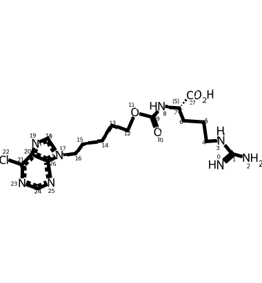 N=C(N)NCCC[C@H](NC(=O)OCCCCCn1cnc2c(Cl)ncnc21)C(=O)O